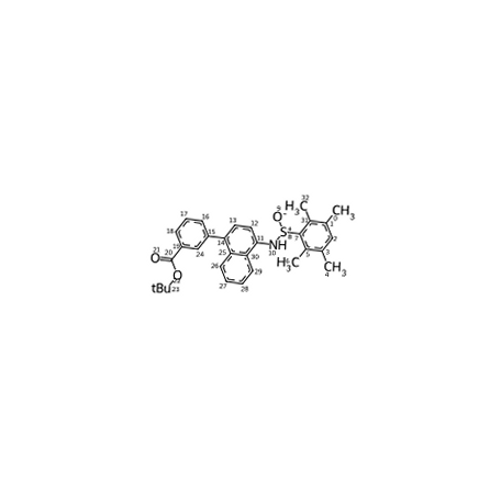 Cc1cc(C)c(C)c([S+]([O-])Nc2ccc(-c3cccc(C(=O)OC(C)(C)C)c3)c3ccccc23)c1C